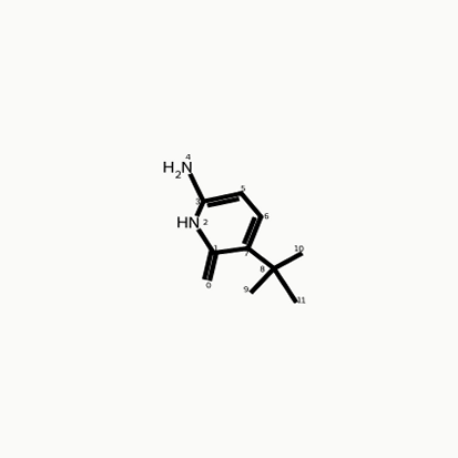 C=C1NC(N)=CC=C1C(C)(C)C